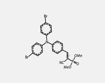 COP(=O)(OC)/C(C#N)=C/c1ccc(N(c2ccc(Br)cc2)c2ccc(Br)cc2)cc1